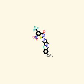 Cc1ccc(F)c(CN2CC3CN(c4nc(=O)c5cc(C(F)(F)F)cc([N+](=O)[O-])c5s4)CC3C2)c1